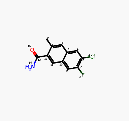 Cc1cc2cc(Cl)c(F)cc2cc1C(N)=O